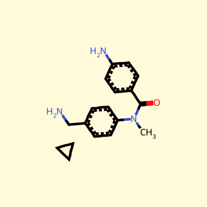 C1CC1.CN(C(=O)c1ccc(N)cc1)c1ccc(CN)cc1